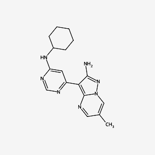 Cc1cnc2c(-c3cc(NC4CCCCC4)ncn3)c(N)nn2c1